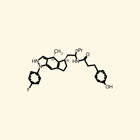 CCCC(C[C@H]1CCC2=C1[C@@H](C)C1=CNN(c3ccc(F)cc3)C1=C2)NC(=O)CCc1ccc(O)cc1